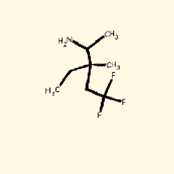 CC[C@@](C)(CC(F)(F)F)C(C)N